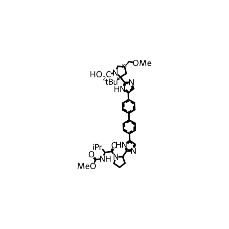 COC[C@@H]1CN(C(=O)O)[C@](c2ncc(-c3ccc(-c4ccc(-c5cnc(C6CCCN6C(=O)C(NC(=O)OC)C(C)C)[nH]5)cc4)cc3)[nH]2)(C(C)(C)C)C1